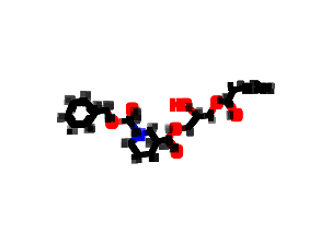 CCCCCCCCCCCC(=O)OCC(O)COC(=O)C1CCCN(C(=O)OCc2ccccc2)C1